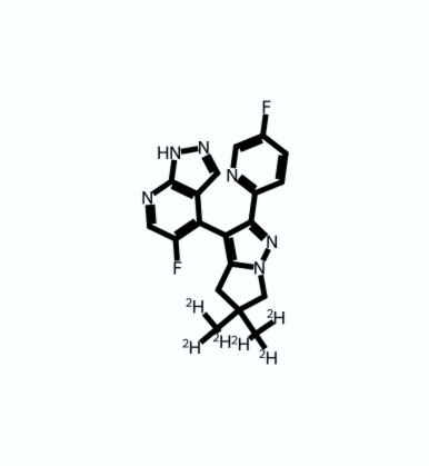 [2H]C([2H])([2H])C1(C([2H])([2H])[2H])Cc2c(-c3c(F)cnc4[nH]ncc34)c(-c3ccc(F)cn3)nn2C1